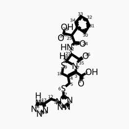 O=C(O)C1=C(CSc2nnnn2Cc2nnn[nH]2)CS[C@H]2[C@H](NC(=O)C(C(=O)O)c3ccccc3)C(=O)N12